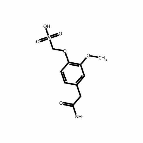 COc1cc(CC([NH])=O)ccc1OCS(=O)(=O)O